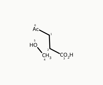 CC(=O)CCC(=O)O.CO